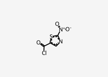 O=C(Cl)c1cnc([N+](=O)[O-])s1